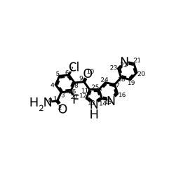 NC(=O)c1ccc(Cl)c(C(=O)c2c[nH]c3ncc(-c4cccnc4)cc23)c1F